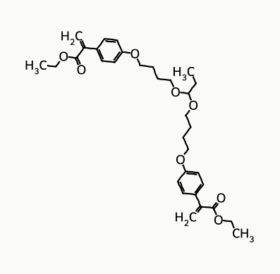 C=C(C(=O)OCC)c1ccc(OCCCCOC(CC)OCCCCOc2ccc(C(=C)C(=O)OCC)cc2)cc1